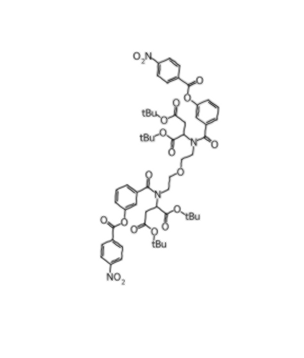 CC(C)(C)OC(=O)CC(C(=O)OC(C)(C)C)N(CCOCCN(C(=O)c1cccc(OC(=O)c2ccc([N+](=O)[O-])cc2)c1)C(CC(=O)OC(C)(C)C)C(=O)OC(C)(C)C)C(=O)c1cccc(OC(=O)c2ccc([N+](=O)[O-])cc2)c1